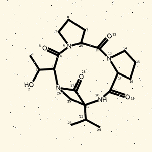 CC(O)C1C(=O)N2CCCC2C(=O)N2CCCC2C(=O)NC2(C(C)C)CN1C2=O